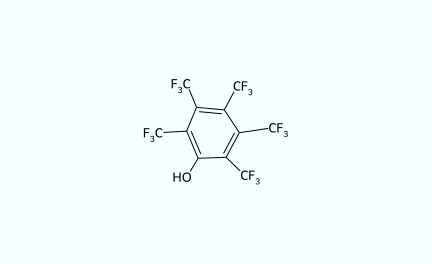 Oc1c(C(F)(F)F)c(C(F)(F)F)c(C(F)(F)F)c(C(F)(F)F)c1C(F)(F)F